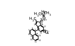 CC1=Cc2c(-c3cccc4ccccc34)cccc2[CH]1[Zr+2][O][SiH](C)C.[Cl-].[Cl-]